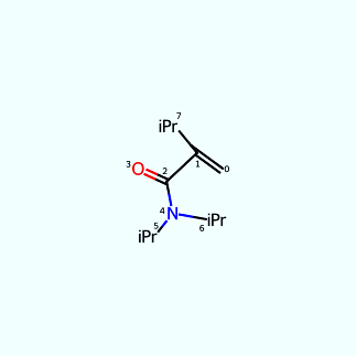 C=C(C(=O)N(C(C)C)C(C)C)C(C)C